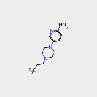 O=[N+]([O-])c1ccc(N2CCN(CCC(F)(F)F)CC2)cn1